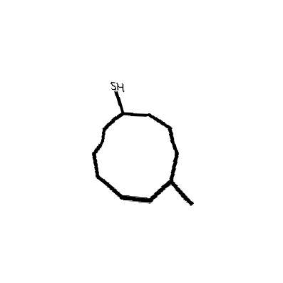 CC1CCCCCC(S)CCC1